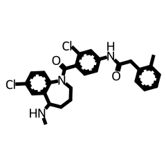 CNC1CCCN(C(=O)c2ccc(NC(=O)Cc3ccccc3C)cc2Cl)c2ccc(Cl)cc21